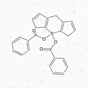 O=C([O][Ti]1([O]C(=O)c2ccccc2)[C]2=C(C=CC2)CC2=[C]1CC=C2)c1ccccc1